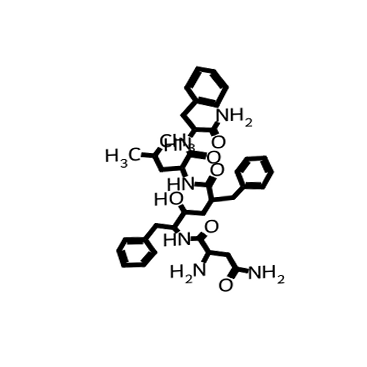 CC(C)CC(NC(=O)C(Cc1ccccc1)CC(O)C(Cc1ccccc1)NC(=O)C(N)CC(N)=O)C(=O)NC(Cc1ccccc1)C(N)=O